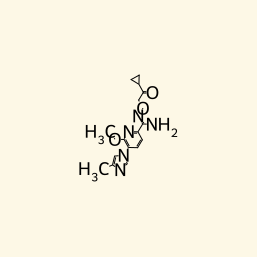 COc1nc(/C(N)=N/OCC(=O)C2CC2)ccc1-n1cnc(C)c1